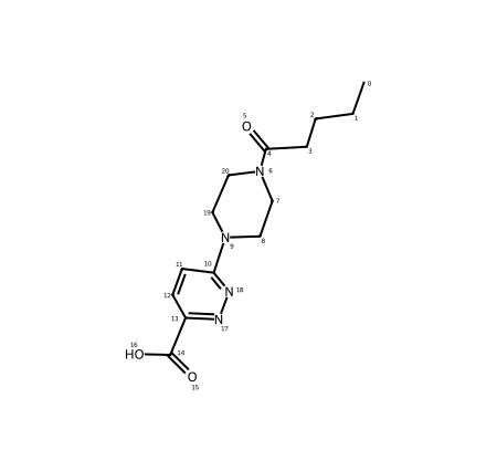 CCCCC(=O)N1CCN(c2ccc(C(=O)O)nn2)CC1